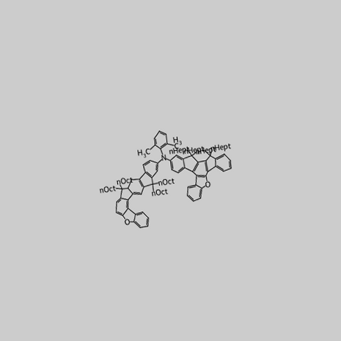 CCCCCCCCC1(CCCCCCCC)C2=C(CC3C(=C2)c2c(ccc4oc5ccccc5c24)C3(CCCCCCCC)CCCCCCCC)c2ccc(N(c3ccc4c(c3)C(CCCCCCC)(CCCCCCC)c3c5c(c6oc7ccccc7c6c3-4)-c3ccccc3C5(CCCCCCC)CCCCCCC)c3c(C)cccc3C)cc21